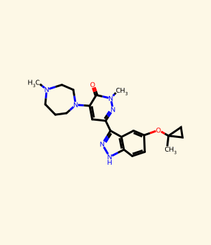 CN1CCCN(c2cc(-c3n[nH]c4ccc(OC5(C)CC5)cc34)nn(C)c2=O)CC1